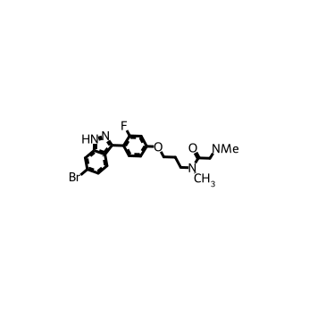 CNCC(=O)N(C)CCCOc1ccc(-c2n[nH]c3cc(Br)ccc23)c(F)c1